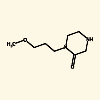 COCCCN1CCNCC1=O